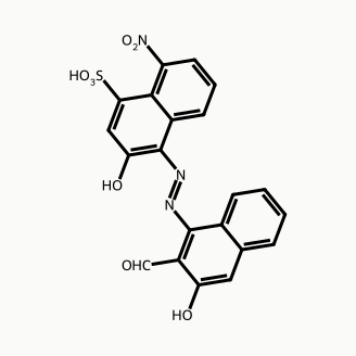 O=Cc1c(O)cc2ccccc2c1N=Nc1c(O)cc(S(=O)(=O)O)c2c([N+](=O)[O-])cccc12